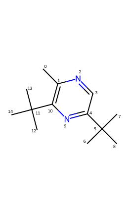 Cc1ncc(C(C)(C)C)nc1C(C)(C)C